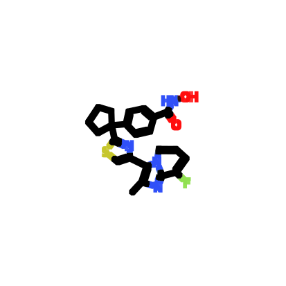 Cc1nc2c(F)cccn2c1-c1csc(C2(c3ccc(C(=O)NO)cc3)CCCC2)n1